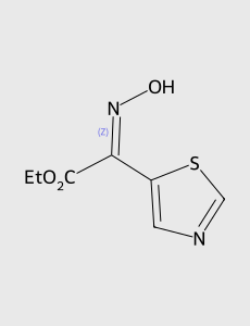 CCOC(=O)/C(=N/O)c1cncs1